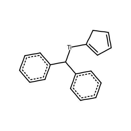 C1=CC[C]([Ti][CH](c2ccccc2)c2ccccc2)=C1